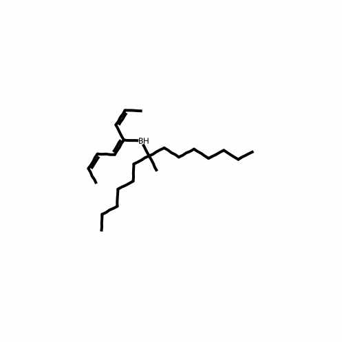 C\C=C/C=C(BC(C)(CCCCCC)CCCCCCC)\C=C/C